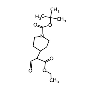 CCOC(=O)C(C=O)C1CCN(C(=O)OC(C)(C)C)CC1